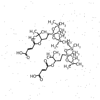 CC(C)(C)C(CC[Si](C)(O[Si](C)(C)C)O[Si](C)(C)C)OC(=O)/C=C/C(=O)O.CC(C)C(CC[Si](C)(O[Si](C)(C)C)O[Si](C)(C)C)OC(=O)/C=C/C(=O)O